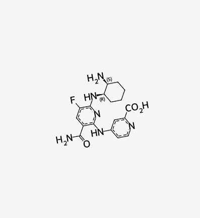 NC(=O)c1cc(F)c(N[C@@H]2CCCC[C@@H]2N)nc1Nc1ccnc(C(=O)O)c1